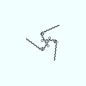 CCCCCCCCCCCC[n+]1ccn(CCC(=O)N2CN(C(=O)CCn3cc[n+](CCCCCCCCCCCC)c3)CN(C(=O)CCn3cc[n+](CCCCCCCCCCCC)c3)C2)c1